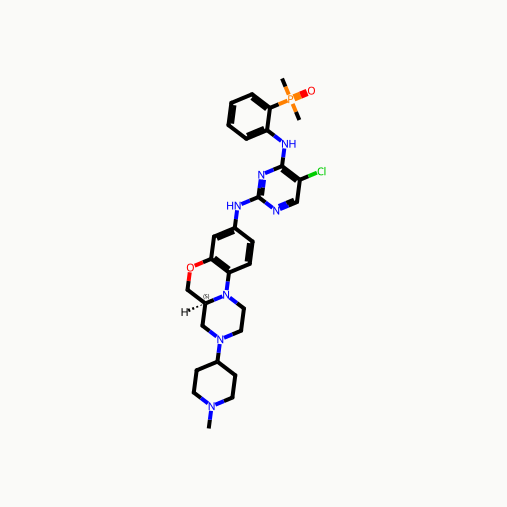 CN1CCC(N2CCN3c4ccc(Nc5ncc(Cl)c(Nc6ccccc6P(C)(C)=O)n5)cc4OC[C@@H]3C2)CC1